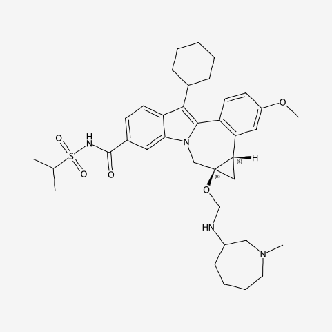 COc1ccc2c(c1)[C@@H]1C[C@]1(OCNC1CCCCN(C)C1)Cn1c-2c(C2CCCCC2)c2ccc(C(=O)NS(=O)(=O)C(C)C)cc21